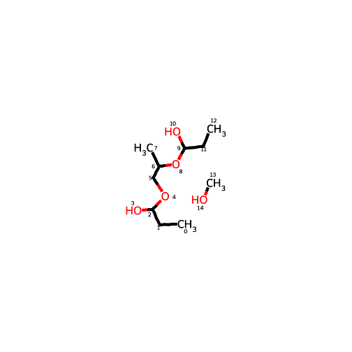 CCC(O)OCC(C)OC(O)CC.CO